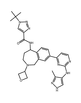 Cc1n[nH]cc1Nc1nccc(-c2ccc3c(c2)CN(C2COC2)CCC3NC(=O)c2cn(C(C)(C)C)nn2)n1